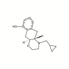 Oc1cccc2c1C[C@@H]1OCCN(CC3CC3)[C@H]1C2